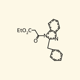 CCOC(=O)CC(=O)n1c(Cc2ccccc2)nc2ccccc21